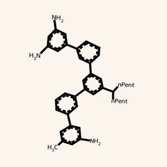 CCCCCC(CCCCC)c1cc(-c2cccc(-c3cc(C)cc(N)c3)c2)cc(-c2cccc(-c3cc(N)cc(N)c3)c2)c1